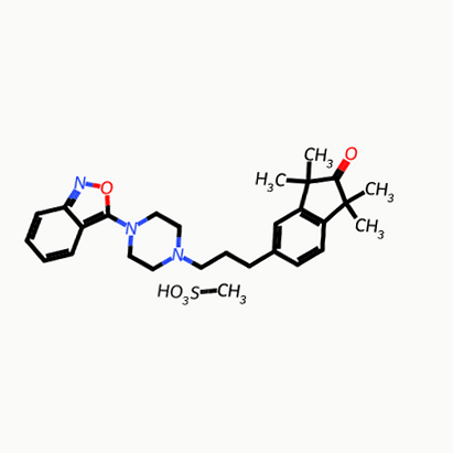 CC1(C)C(=O)C(C)(C)c2cc(CCCN3CCN(c4onc5ccccc45)CC3)ccc21.CS(=O)(=O)O